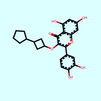 O=c1c(OC2CC(C3CCCC3)C2)c(-c2ccc(O)c(O)c2)oc2cc(O)cc(O)c12